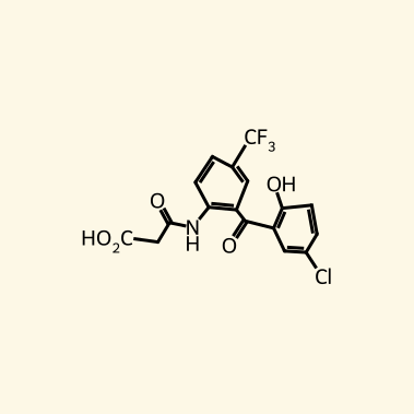 O=C(O)CC(=O)Nc1ccc(C(F)(F)F)cc1C(=O)c1cc(Cl)ccc1O